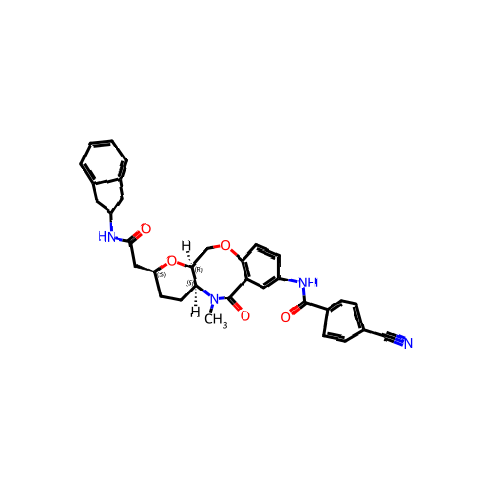 CN1C(=O)c2cc(NC(=O)c3ccc(C#N)cc3)ccc2OC[C@@H]2O[C@H](CC(=O)NC3Cc4ccccc4C3)CC[C@@H]21